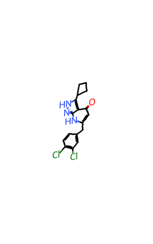 O=c1cc(Cc2ccc(Cl)c(Cl)c2)[nH]c2n[nH]c(C3CCC3)c12